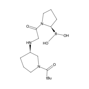 CC(C)(C)C(=O)N1CCC[C@@H](NCC(=O)N2CCC[C@H]2B(O)O)C1